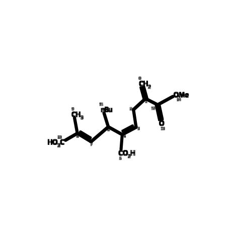 C=C(CC=C(C(=O)O)C(C=C(C)C(=O)O)CCCC)C(=O)OC